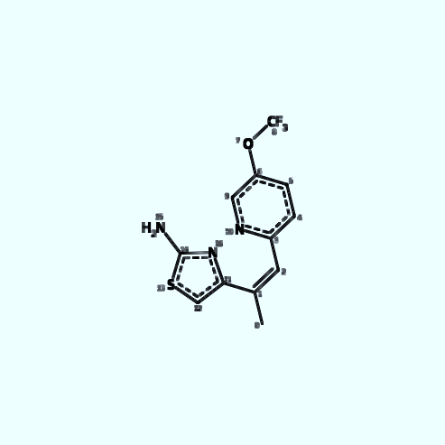 CC(=Cc1ccc(OC(F)(F)F)cn1)c1csc(N)n1